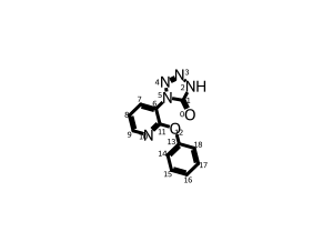 O=c1[nH]nnn1-c1cccnc1Oc1ccccc1